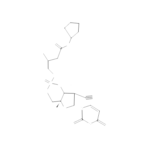 C#C[C@]1(C)[C@@H]2OP(=O)(OCC(C)CC(=O)OC3CCCC3)OC[C@H]2O[C@H]1n1ccc(=O)[nH]c1=O